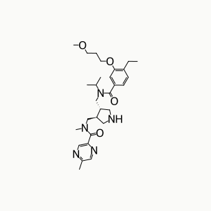 CCc1ccc(C(=O)N(C[C@@H]2CNC[C@H]2CN(C)C(=O)c2cnc(C)cn2)C(C)C)cc1OCCCOC